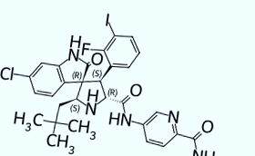 CC(C)(C)C[C@@H]1N[C@@H](C(=O)Nc2ccc(C(N)=O)nc2)[C@H](c2cccc(I)c2F)[C@]12C(=O)Nc1cc(Cl)ccc12